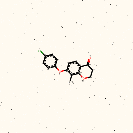 Cc1c(Oc2ccc(Cl)cc2)ccc2c1OCCC2=O